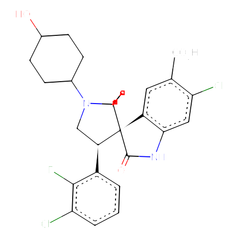 O=C(O)c1cc2c(cc1Cl)NC(=O)[C@@]21[C@@H](c2cccc(Cl)c2F)CN(C2CCC(O)CC2)C12CCCCC2